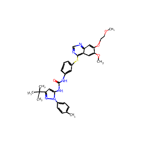 COCCOc1cc2ncnc(Sc3cccc(NC(=O)Nc4cc(C(C)(C)C)nn4-c4ccc(C)cc4)c3)c2cc1OC